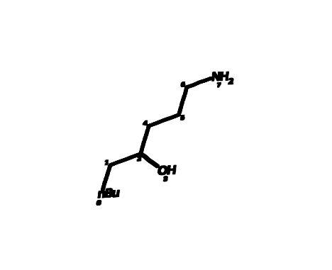 CCCCCC(O)CCCN